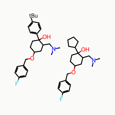 CN(C)CC1CC(OCc2ccc(F)cc2)CCC1(O)C1CCCC1.CN(C)CC1CC(OCc2ccc(F)cc2)CCC1(O)c1ccc(C(C)(C)C)cc1